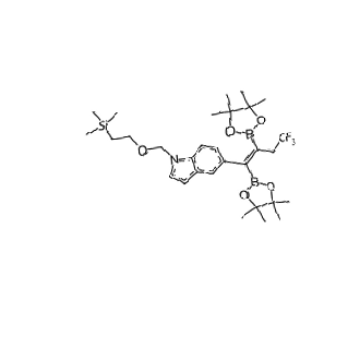 CC1(C)OB(/C(CC(F)(F)F)=C(/B2OC(C)(C)C(C)(C)O2)c2ccc3c(ccn3COCC[Si](C)(C)C)c2)OC1(C)C